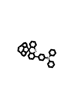 c1ccc(N(c2ccccc2)c2ccc(-c3cccc4c3Sc3ccccc3C43c4cccc5ccc6cccc3c6c45)cc2)cc1